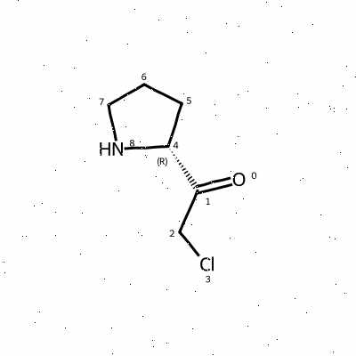 O=C(CCl)[C@H]1CCCN1